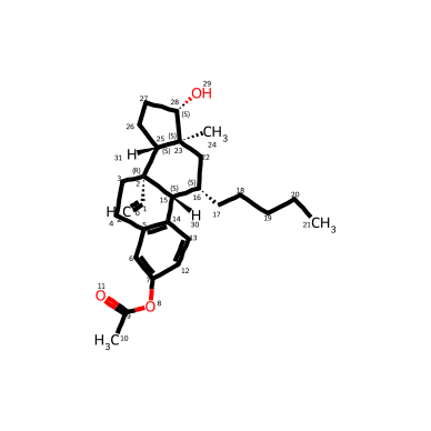 C=C[C@@]12CCc3cc(OC(C)=O)ccc3[C@H]1[C@@H](CCCCC)C[C@@]1(C)[C@H]2CC[C@@H]1O